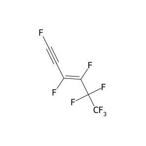 FC#CC(F)=C(F)C(F)(F)C(F)(F)F